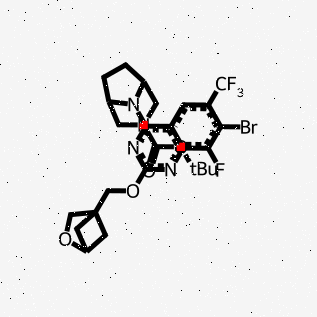 CC(C)(C)OC(=O)N1CC2CCC(C1)N2c1nc(OCC23COC(C2)C3)nc2c(F)c(Br)c(C(F)(F)F)cc12